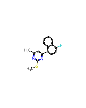 CSc1nc(C)cc(-c2ccc(F)c3ccccc23)n1